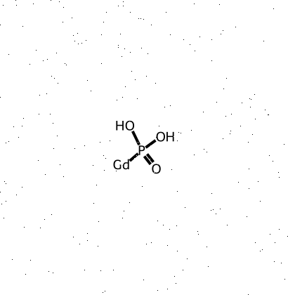 O=[P](O)(O)[Gd]